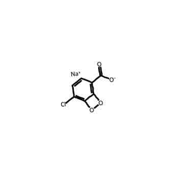 O=C([O-])c1ccc(Cl)c2ooc12.[Na+]